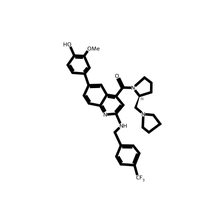 COc1cc(-c2ccc3nc(NCc4ccc(C(F)(F)F)cc4)cc(C(=O)N4CCC[C@H]4CN4CCCC4)c3c2)ccc1O